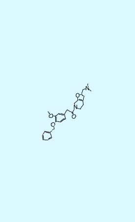 COc1cc(CC(=O)N2CCc3cc(CN(C)C)oc3C2)ccc1OCc1ccccc1